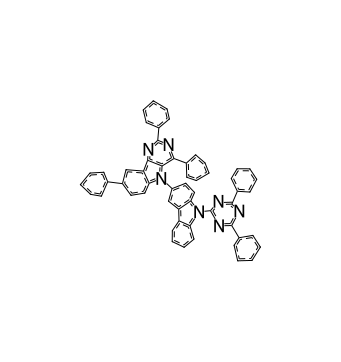 c1ccc(-c2ccc3c(c2)c2nc(-c4ccccc4)nc(-c4ccccc4)c2n3-c2ccc3c(c2)c2ccccc2n3-c2nc(-c3ccccc3)nc(-c3ccccc3)n2)cc1